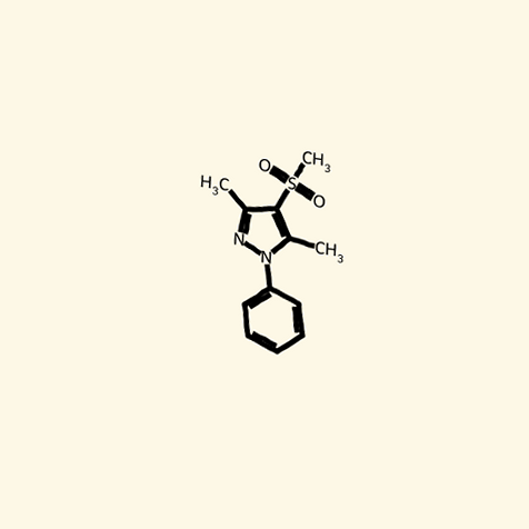 Cc1nn(-c2ccccc2)c(C)c1S(C)(=O)=O